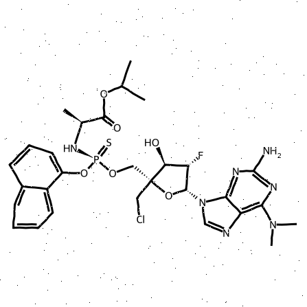 CC(C)OC(=O)[C@H](C)N[P@@](=S)(OC[C@@]1(CCl)O[C@@H](n2cnc3c(N(C)C)nc(N)nc32)[C@@H](F)[C@@H]1O)Oc1cccc2ccccc12